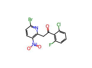 O=C(Cc1nc(Br)ccc1[N+](=O)[O-])c1c(F)cccc1Cl